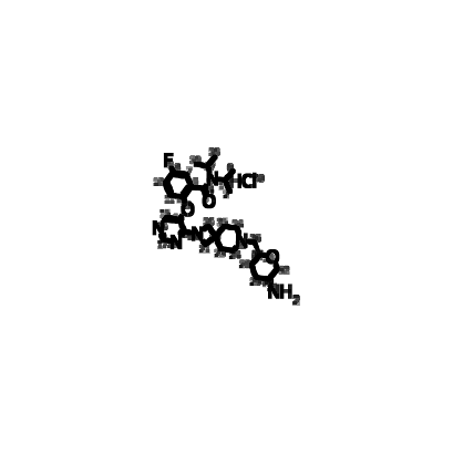 CC(C)N(C(=O)c1cc(F)ccc1Oc1cncnc1N1CC2(CCN(C[C@@H]3CC[C@@H](N)CO3)CC2)C1)C(C)C.Cl